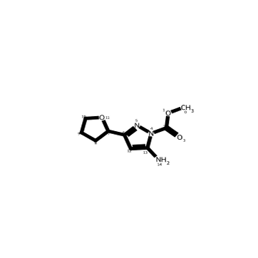 COC(=O)n1nc(C2CCCO2)cc1N